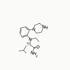 CCN(c1ccccc1N1CCNCC1)[C@@H](CC(C)C)C(N)=O